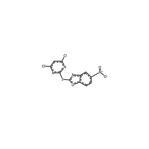 O=[N+]([O-])c1ccc2oc(Sc3nc(Cl)cc(Cl)n3)nc2c1